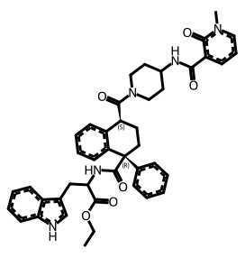 CCOC(=O)C(Cc1c[nH]c2ccccc12)NC(=O)[C@@]1(c2ccccc2)CC[C@H](C(=O)N2CCC(NC(=O)c3cccn(C)c3=O)CC2)c2ccccc21